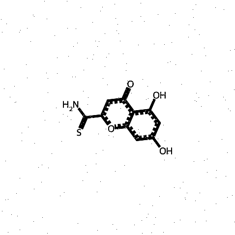 NC(=S)c1cc(=O)c2c(O)cc(O)cc2o1